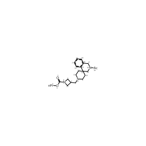 CCCOC(=O)N1CC(CN2CCC3(CC2)CN(C(C)=O)Cc2ccccc23)C1